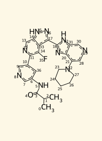 CC(C)C(=O)Nc1cncc(-c2ncc3[nH]nc(-c4nc5c(N6CCCCC6)cncc5[nH]4)c3c2F)c1